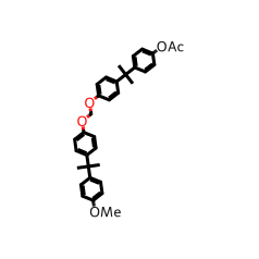 COc1ccc(C(C)(C)c2ccc(OCOc3ccc(C(C)(C)c4ccc(OC(C)=O)cc4)cc3)cc2)cc1